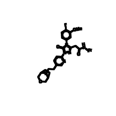 COc1cc(-n2c(CC(=O)NC(C)C)nn(-c3ccc(CCN4C5CCC4COC5)cn3)c2=O)ccc1F